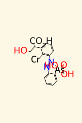 O=C(O)C(CO)c1cccc(N=Nc2ccccc2[As](=O)(O)O)[c]1[Cr]